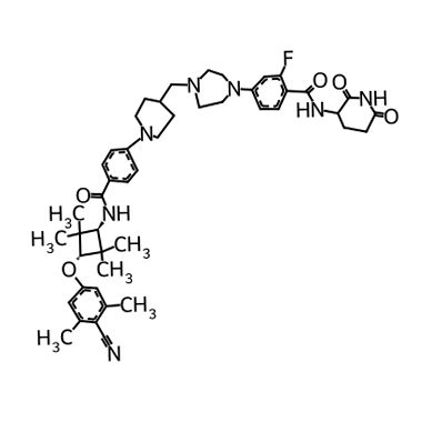 Cc1cc(O[C@H]2C(C)(C)[C@H](NC(=O)c3ccc(N4CCC(CN5CCN(c6ccc(C(=O)NC7CCC(=O)NC7=O)c(F)c6)CC5)CC4)cc3)C2(C)C)cc(C)c1C#N